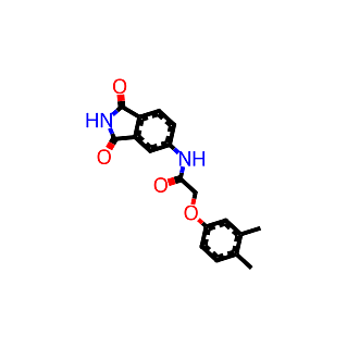 Cc1ccc(OCC(=O)Nc2ccc3c(c2)C(=O)NC3=O)cc1C